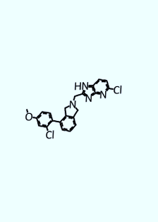 COc1ccc(-c2cccc3c2CN(Cc2nc4nc(Cl)ccc4[nH]2)C3)c(Cl)c1